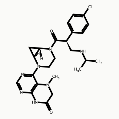 CC(C)NC[C@@H](C(=O)N1CCN(c2ncnc3c2N(C)CC(=O)N3)[C@@H]2C[C@@H]21)c1ccc(Cl)cc1